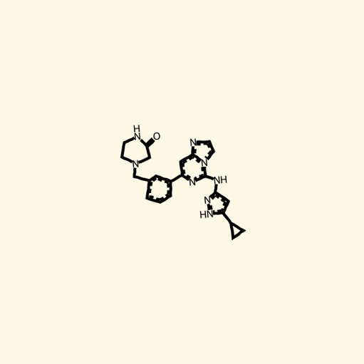 O=C1CN(Cc2cccc(-c3cc4nccn4c(Nc4cc(C5CC5)[nH]n4)n3)c2)CCN1